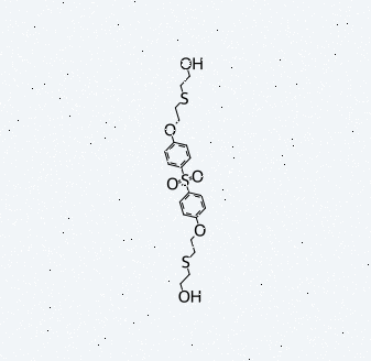 O=S(=O)(c1ccc(OCCSCCO)cc1)c1ccc(OCCSCCO)cc1